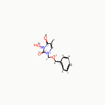 Cc1cn(COCc2ccccc2)c(=O)n(O)c1=O